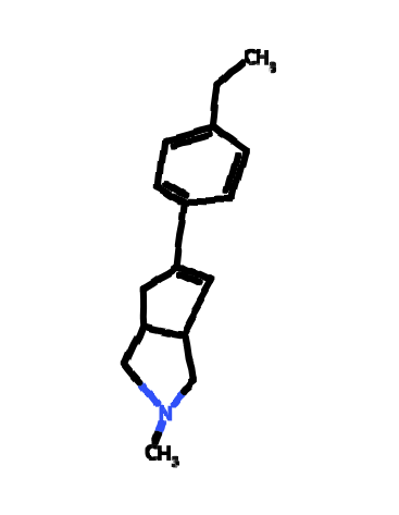 CCc1ccc(C2=CC3CN(C)CC3C2)cc1